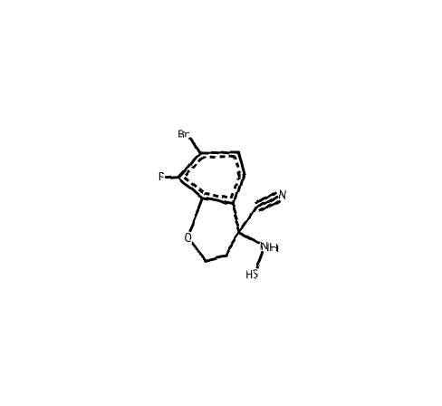 N#CC1(NS)CCOc2c1ccc(Br)c2F